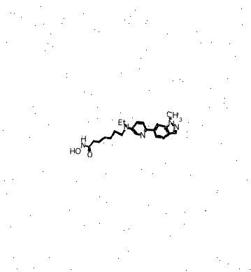 CCN(CCCCCCC(=O)NO)c1ccc(-c2ccc3cnn(C)c3c2)nc1